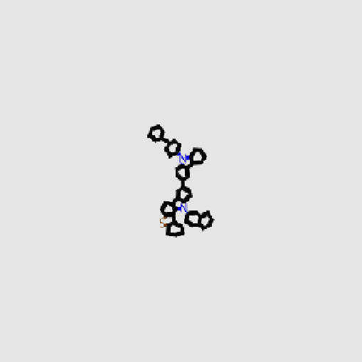 c1ccc(-c2ccc(-n3c4ccccc4c4cc(-c5ccc6c(c5)c5ccc7sc8ccccc8c7c5n6-c5ccc6ccccc6c5)ccc43)cc2)cc1